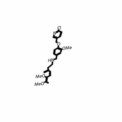 C=C(/C=C\C(OC)=C(/C)OC)CCNCc1ccc(OCc2ccc(Cl)nc2)c(OC)c1